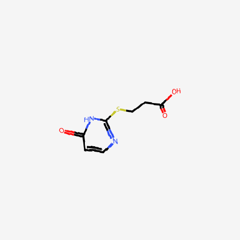 O=C(O)CCSc1nccc(=O)[nH]1